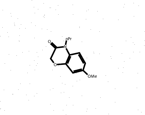 CCCN1C(=O)COc2cc(OC)ccc21